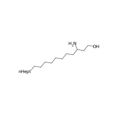 CCCCCCCCCCCCCCCC(N)CCO